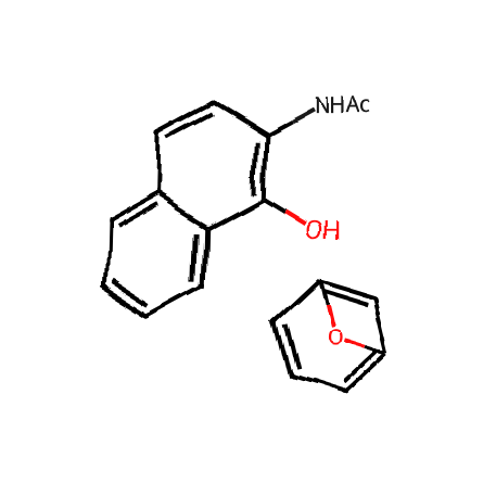 CC(=O)Nc1ccc2ccccc2c1O.c1cc2cc(c1)O2